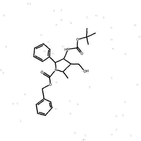 CC1C(CO)C(NC(=O)OC(C)(C)C)C(c2ccccc2)N1C(=O)OCc1ccccc1